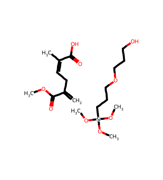 C=C(CC=C(C)C(=O)O)C(=O)OC.CO[Si](CCCOCCCO)(OC)OC